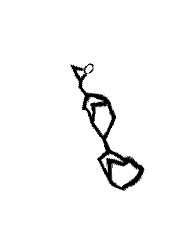 C1CC2CC1CC2C1CC2CC1CC2C1CO1